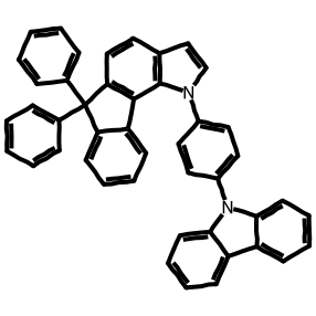 c1ccc(C2(c3ccccc3)c3ccccc3-c3c2ccc2ccn(-c4ccc(-n5c6ccccc6c6ccccc65)cc4)c32)cc1